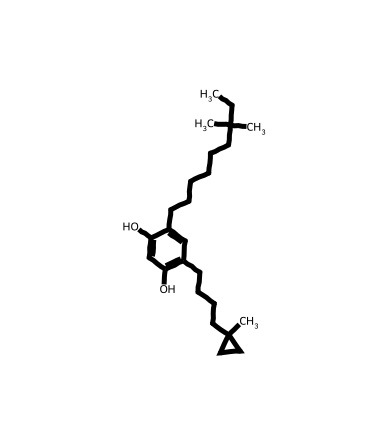 CCC(C)(C)CCCCCCc1cc(CCCCC2(C)CC2)c(O)cc1O